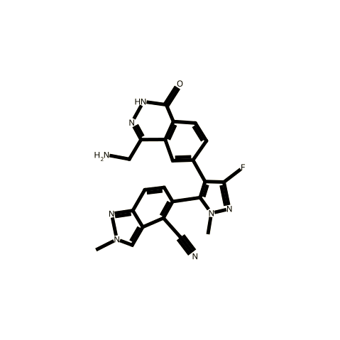 Cn1cc2c(C#N)c(-c3c(-c4ccc5c(=O)[nH]nc(CN)c5c4)c(F)nn3C)ccc2n1